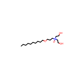 CCCCCCCCCCOCCC[N+]([O-])(CCO)CCO